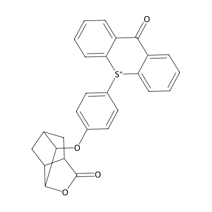 O=C1OC2C3CC(CC13)C2Oc1ccc(-[s+]2c3ccccc3c(=O)c3ccccc32)cc1